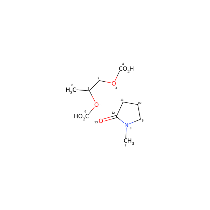 CC(COC(=O)O)OC(=O)O.CN1CCCC1=O